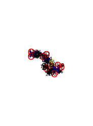 COC(=O)C(=C(C)C)N1C(=O)[C@@H]([C@@H](CO[SiH](C)C)C(C)(C)C)[C@H]1CC(=O)S[C@H]1CCN(C(=O)OCc2ccc([N+](=O)[O-])cc2)C1